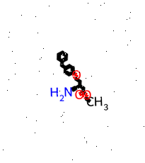 CCOC(=O)CC(C#CN)CCOc1ccc(Cc2ccccc2)cc1